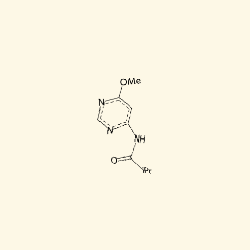 COc1cc(NC(=O)C(C)C)ncn1